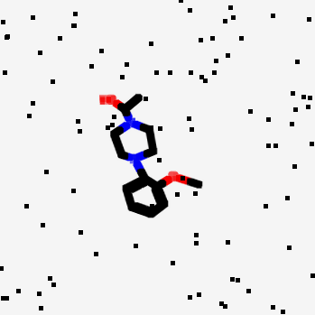 COc1ccccc1N1CCN(C(C)O)CC1